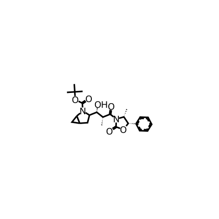 C[C@@H]1[C@H](c2ccccc2)OC(=O)N1C(=O)[C@H](C)[C@@H](O)C1CC2CC2N1C(=O)OC(C)(C)C